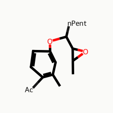 CCCCCC(Oc1ccc(C(C)=O)c(C)c1)C1OC1C